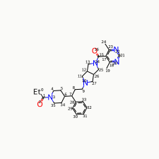 CCC(=O)N1CCC(C(CCN2CC3CN(C(=O)c4c(C)ncnc4C)CC3C2)c2ccccc2)CC1